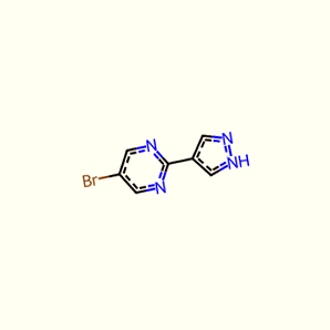 Brc1cnc(-c2cn[nH]c2)nc1